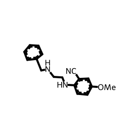 COc1ccc(NCCNCc2ccccc2)c(C#N)c1